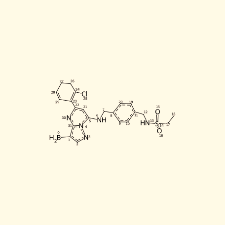 Bc1cnn2c(NCc3ccc(CNS(=O)(=O)CC)cc3)cc(C3=C(Cl)CCC=C3)nc12